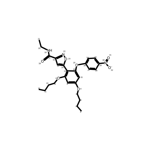 CCCCOc1cc(OCCCC)c(-c2cc(C(=O)NCC)no2)c(Oc2ccc([N+](=O)[O-])cc2)c1